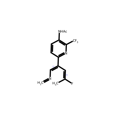 C=N/C=C(\C=C(/C)F)c1ccc(NC(C)=O)c(C(F)(F)F)n1